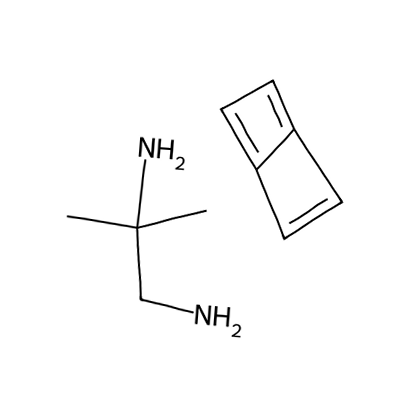 CC(C)(N)CN.c1cc2ccc1-2